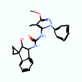 COc1nn(-c2ccccc2)c(NC(=O)NC2c3ccccc3C3(CC3)C2O)c1C